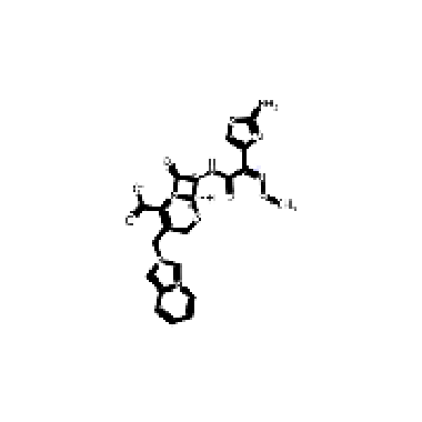 CO/N=C(\C(=O)N[C@@H]1C(=O)N2C(C(=O)[O-])=C(Cn3cc4cccc[n+]4c3)CS[C@H]12)c1csc(N)n1